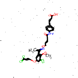 COc1c(Cl)cc(OCC=C(Cl)Cl)cc1/C(C)=N/OCCCC(=O)Nc1ccc(/C=C/C(=O)O)cc1